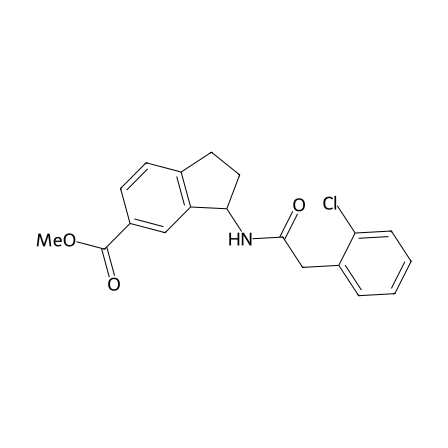 COC(=O)c1ccc2c(c1)C(NC(=O)Cc1ccccc1Cl)CC2